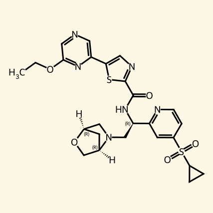 CCOc1cncc(-c2cnc(C(=O)N[C@H](CN3C[C@H]4C[C@@H]3CO4)c3cc(S(=O)(=O)C4CC4)ccn3)s2)n1